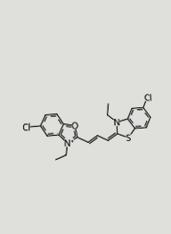 CCN1C(=CC=Cc2oc3ccc(Cl)cc3[n+]2CC)Sc2ccc(Cl)cc21